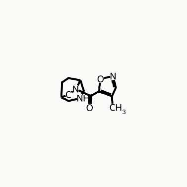 Cc1cnoc1C(=O)N1CC2CCC1CNC2